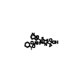 CC(OC(=O)Nc1c(-c2nc3nc(C4(C(=O)O)CC4)sc3s2)oc2ncccc12)c1ccccc1